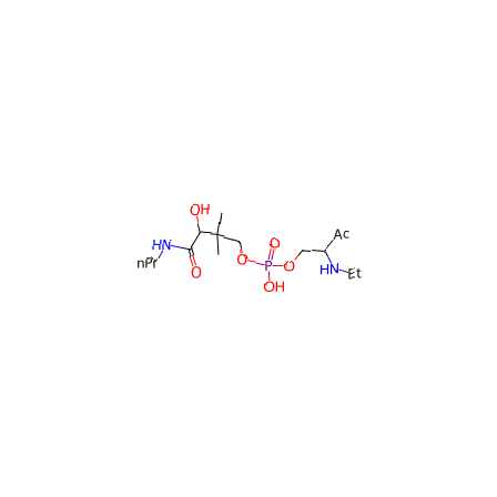 CCCNC(=O)C(O)C(C)(C)COP(=O)(O)OCC(NCC)C(C)=O